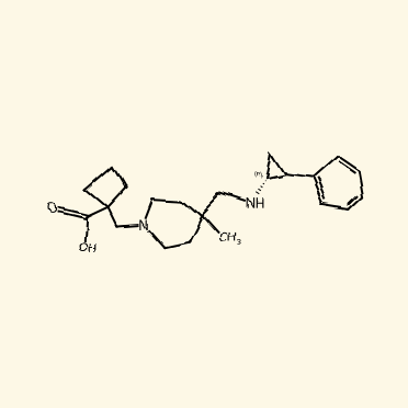 CC1(CN[C@@H]2CC2c2ccccc2)CCN(CC2(C(=O)O)CCC2)CC1